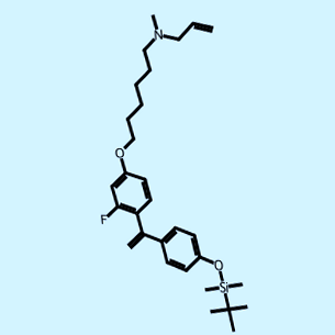 C=CCN(C)CCCCCCOc1ccc(C(=C)c2ccc(O[Si](C)(C)C(C)(C)C)cc2)c(F)c1